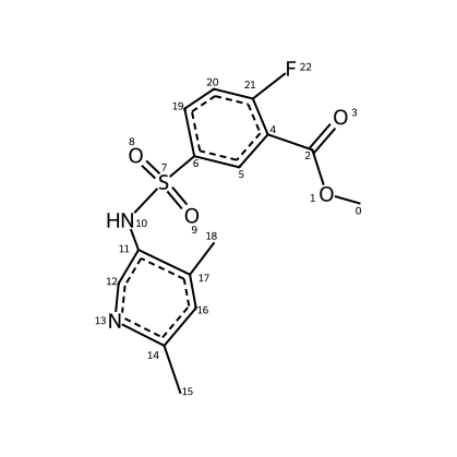 COC(=O)c1cc(S(=O)(=O)Nc2cnc(C)cc2C)ccc1F